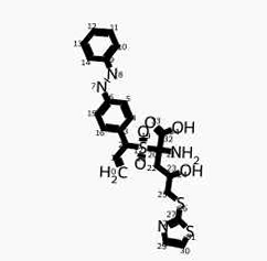 C=CC(c1ccc(N=Nc2ccccc2)cc1)S(=O)(=O)C(N)(CC(O)CSc1nccs1)C(=O)O